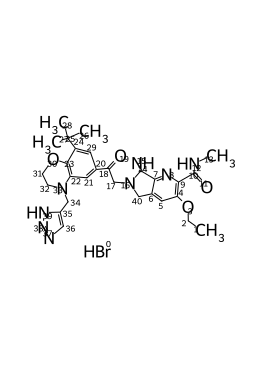 Br.CCOc1cc2c(nc1C(=O)NC)C(=N)N(CC(=O)c1cc3c(c(C(C)(C)C)c1)OCCN3Cc1cnn[nH]1)C2